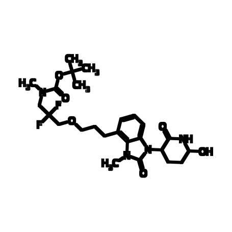 CN(CC(F)(F)COCCCc1cccc2c1n(C)c(=O)n2C1CCC(O)NC1=O)C(=O)OC(C)(C)C